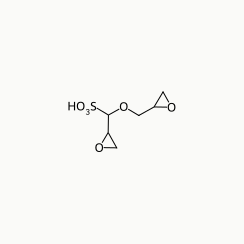 O=S(=O)(O)C(OCC1CO1)C1CO1